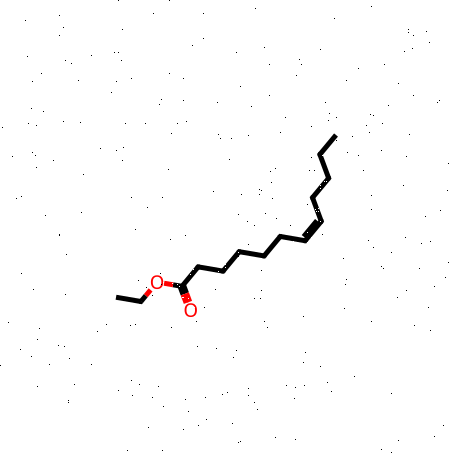 CCCC/C=C\CCCCCC(=O)OCC